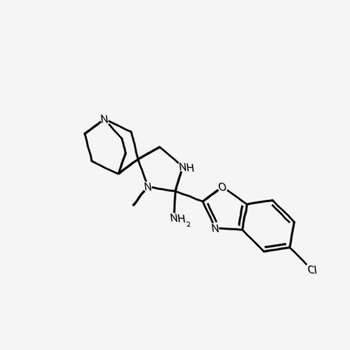 CN1C(N)(c2nc3cc(Cl)ccc3o2)NCC12CN1CCC2CC1